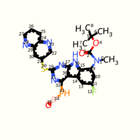 CN(C(=O)OC(C)(C)C)c1cc(F)cc2c1[nH]c1nc(Sc3cnc4cccnc4c3)nc(PB=O)c12